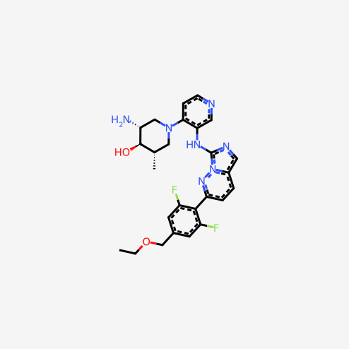 CCOCc1cc(F)c(-c2ccc3cnc(Nc4cnccc4N4C[C@@H](N)[C@H](O)[C@@H](C)C4)n3n2)c(F)c1